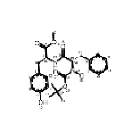 COC(=O)[C@H](Cc1ccc(O)cc1)NC(=O)[C@H](Cc1ccccc1)N(Cl)C(=O)OC(C)(C)C